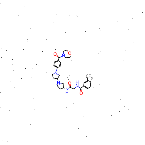 O=C(CNC(=O)c1cccc(C(F)(F)F)c1)N[C@@H]1CCN(C2CCN(c3ccc(C(=O)N4CCOCC4)cc3)C2)C1